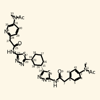 CC(=O)N(C)c1ccc(CC(=O)Nc2nnc([C@H]3CCC[C@H](c4nnc(NC(=O)Cc5ccc(N(C)C(C)=O)cn5)s4)C3)s2)cc1